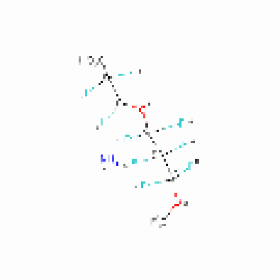 N.O=C(O)C(F)(F)C(F)OC(F)(F)C(F)(F)C(F)(F)OC(F)(F)F